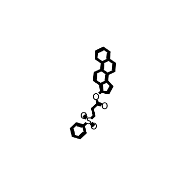 O=C(CCS(=O)(=O)c1ccccc1)OC1=c2ccc3c4c(ccc3c2C=C1)=CC=CC4